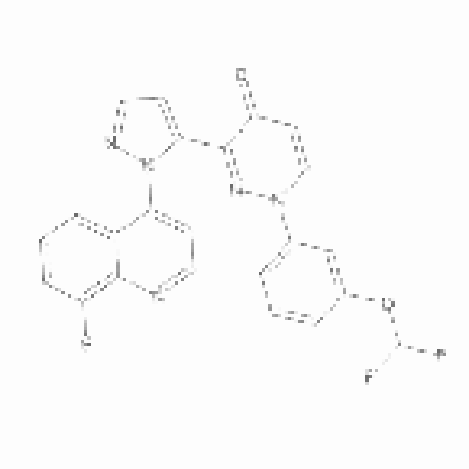 O=c1ccn(-c2cccc(OC(F)F)c2)nc1-c1ccnn1-c1ccnc2c(F)cccc12